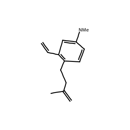 C=Cc1cc(NC)ccc1CCC(=C)C